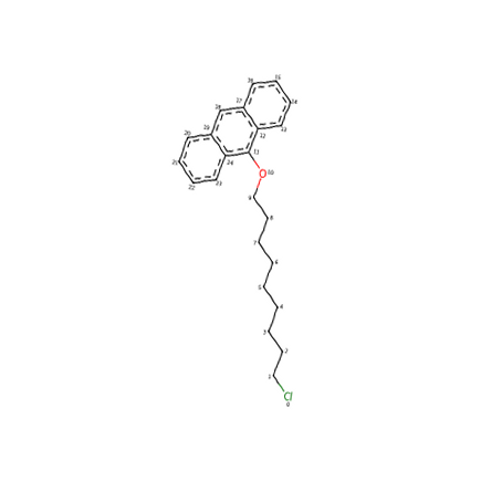 ClCCCCCCCCCOc1c2ccccc2cc2ccccc12